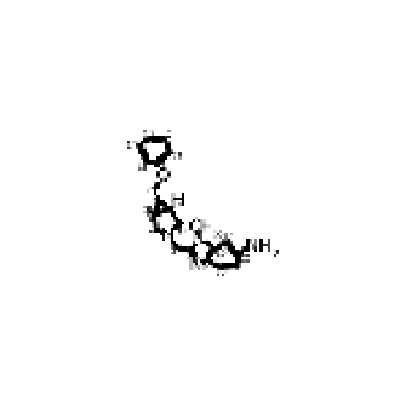 Cn1c(CN2C[C@@H]3[C@@H](COc4ccccc4)[C@@H]3C2)nc2ccc(N)cc21